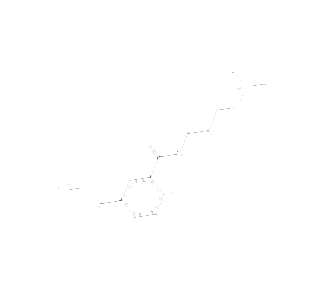 CCc1cc(CSC(C)=O)cc(C(=O)NCCCOP(C)Cl)c1